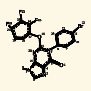 Cn1cnc2c(=O)n(-c3ccc(Br)cc3)c(Oc3ccc(F)c(F)c3F)nc21